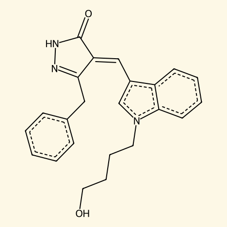 O=C1NN=C(Cc2ccccc2)C1=Cc1cn(CCCCO)c2ccccc12